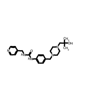 CC(C)(O)CN1CCN(Cc2ccc(NC(=O)NCc3ccncc3)cc2)CC1